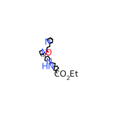 CCOC(=O)C1CCC2(C1)CC(N1CCC([C@@H]3CCCN3C(=O)CCc3ccccn3)CC1)N2